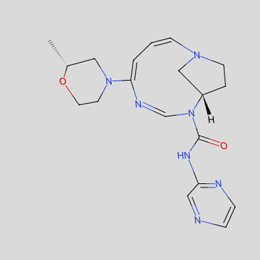 C[C@@H]1CN(C2=CC=CN3CC[C@@H](C3)N(C(=O)Nc3cnccn3)C=N2)CCO1